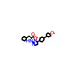 COC(=O)C(Cc1ccccc1)Nc1nccc(-c2ccc(-c3ccc(OC)cc3)cc2)n1